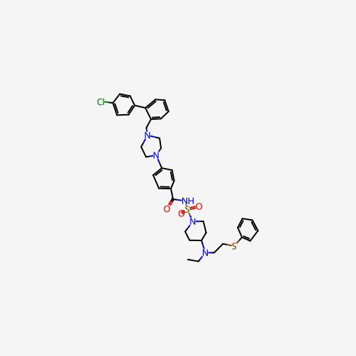 CCN(CCSc1ccccc1)C1CCN(S(=O)(=O)NC(=O)c2ccc(N3CCN(Cc4ccccc4-c4ccc(Cl)cc4)CC3)cc2)CC1